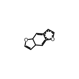 C1=CC2C=c3occc3=CC2O1